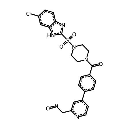 O=NCc1cc(-c2ccc(C(=O)N3CCN(S(=O)(=O)c4nc5ccc(Cl)cc5[nH]4)CC3)cc2)ccn1